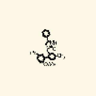 COc1ccc(C(C)C)cc1-c1ccc(C(F)(F)F)cc1CN1CC(c2ccccc2)NC1=O